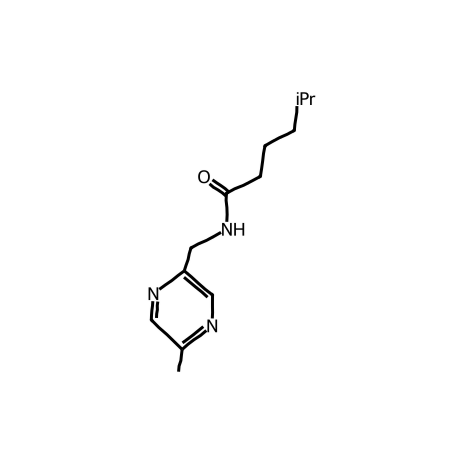 Cc1cnc(CNC(=O)CCCC(C)C)cn1